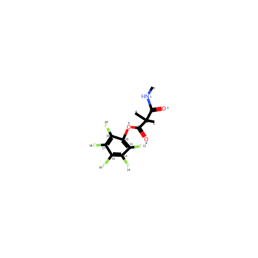 CNC(=O)C(C)(C)C(=O)Oc1c(F)c(F)c(F)c(F)c1F